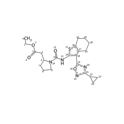 CCOC(=O)CC1CCCN1C(=O)Nc1sc2c(c1-c1nc(C3CC3)no1)CCCC2